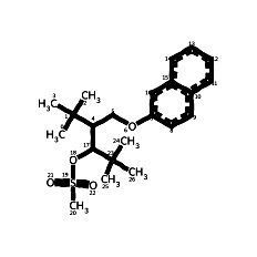 CC(C)(C)C(COc1ccc2ccccc2c1)C(OS(C)(=O)=O)C(C)(C)C